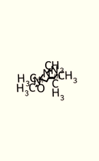 CC(=O)N(C)[C@H]1CC2=C(C)[C@H](C)N=C(C)N2C1